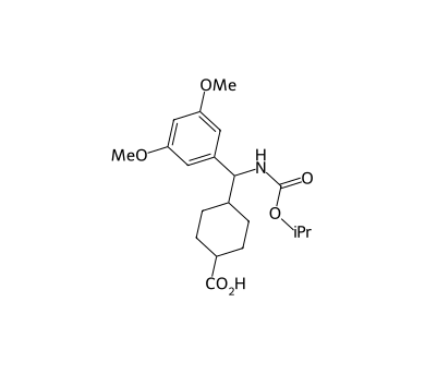 COc1cc(OC)cc(C(NC(=O)OC(C)C)C2CCC(C(=O)O)CC2)c1